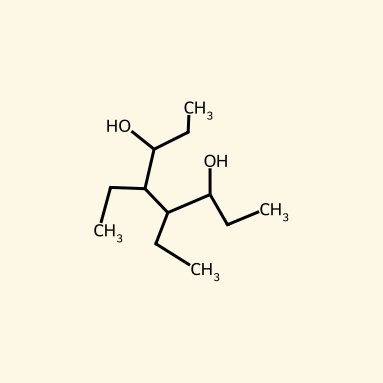 CCC(O)C(CC)C(CC)C(O)CC